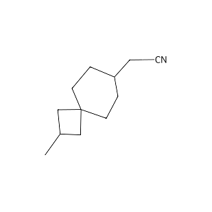 CC1CC2(CCC(CC#N)CC2)C1